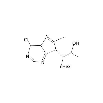 CCCCCCC(C(C)O)n1c(C)nc2c(Cl)ncnc21